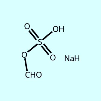 O=COS(=O)(=O)O.[NaH]